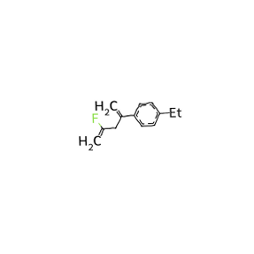 C=C(F)CC(=C)c1ccc(CC)cc1